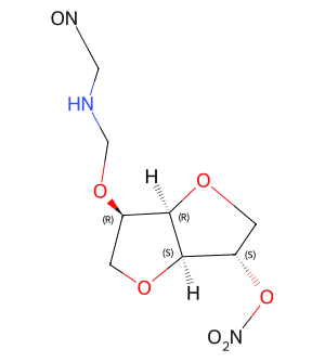 O=NCNCO[C@@H]1CO[C@H]2[C@@H]1OC[C@@H]2O[N+](=O)[O-]